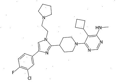 CNc1ncnc(N2CCC(c3nc(-c4ccc(F)c(Cl)c4)cn3CCN3CCCC3)CC2)c1C1CCC1